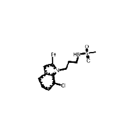 CCc1cc2cccc(Cl)c2n1CCCNS(C)(=O)=O